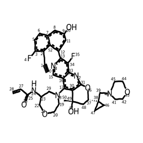 C#Cc1c(F)ccc2cc(O)cc(-c3ncc4c(N5CCOCC(NC(=O)C=C)C5)c5c(nc4c3F)O[C@H](C3(CN4CCOCC4)CC3)C[C@]5(C)O)c12